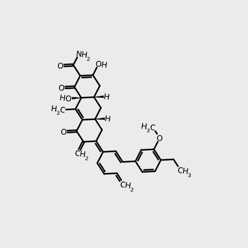 C=C\C=C/C(/C=C/c1ccc(CC)c(OC)c1)=C1/C[C@H]2C[C@H]3CC(O)=C(C(N)=O)C(=O)[C@@]3(O)C(C)=C2C(=O)C1=C